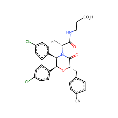 CCC[C@H](C(=O)NCCC(=O)O)N1C(=O)[C@H](Cc2ccc(C#N)cc2)O[C@@H](c2ccc(Cl)cc2)[C@H]1c1ccc(Cl)cc1